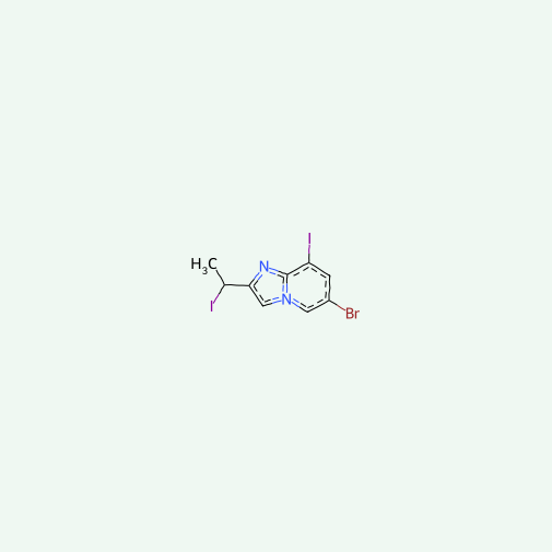 CC(I)c1cn2cc(Br)cc(I)c2n1